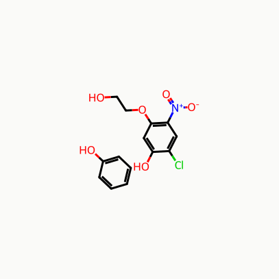 O=[N+]([O-])c1cc(Cl)c(O)cc1OCCO.Oc1ccccc1